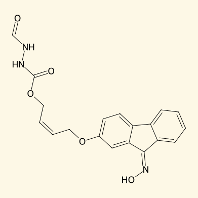 O=CNNC(=O)OC/C=C\COc1ccc2c(c1)/C(=N\O)c1ccccc1-2